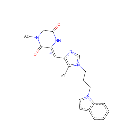 CC(=O)N1CC(=O)N/C(=C\c2ncn(CCCn3ccc4ccccc43)c2C(C)C)C1=O